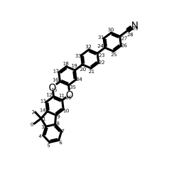 CC1(C)c2ccccc2-c2cc3c(cc21)Oc1ccc(-c2ccc(-c4ccc(C#N)cc4)cc2)cc1O3